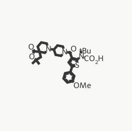 COc1cccc(-c2cc(C(=O)N3CCC(N4CCCC5(C4)CC(C)(C)OC5=O)CC3)c(N(C(=O)O)C(C)(C)C)s2)c1